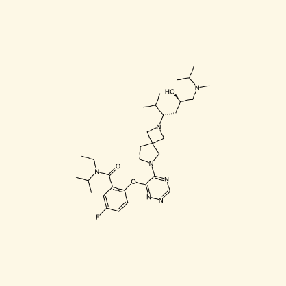 CCN(C(=O)c1cc(F)ccc1Oc1nncnc1N1CCC2(C1)CN([C@@H](C[C@@H](O)CN(C)C(C)C)C(C)C)C2)C(C)C